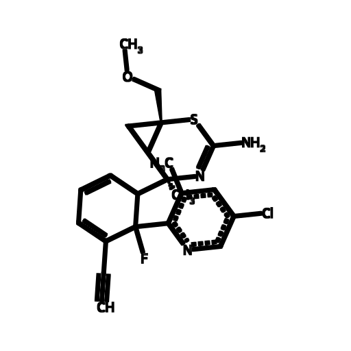 C#CC1=CC=CC([C@]2(C)N=C(N)S[C@@]3(COC)CC32)C1(F)c1ncc(Cl)cc1C